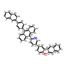 c1ccc2cc(-c3ccc(-c4c5ccccc5c(-c5ccc(-c6ccc7oc8cc9ccccc9cc8c7c6)cn5)c5ccccc45)cc3)ccc2c1